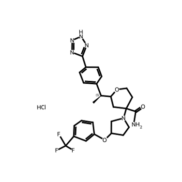 C[C@@H](c1ccc(-c2nn[nH]n2)cc1)C1CC(C(N)=O)(N2CCC(Oc3cccc(C(F)(F)F)c3)C2)CCO1.Cl